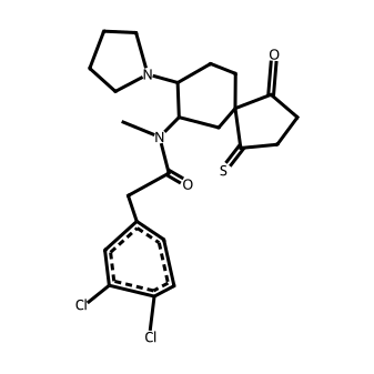 CN(C(=O)Cc1ccc(Cl)c(Cl)c1)C1CC2(CCC1N1CCCC1)C(=O)CCC2=S